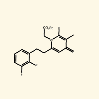 C=C1C=C(CCc2cccc(F)c2F)N(CC(=O)OCC)C(C)=C1C